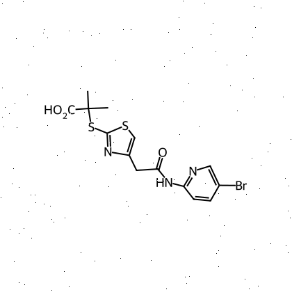 CC(C)(Sc1nc(CC(=O)Nc2ccc(Br)cn2)cs1)C(=O)O